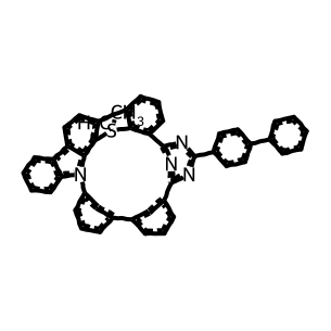 CS1(C)c2c3cccc2-c2ccc4c5ccccc5n(c4c21)-c1cccc(c1)-c1cccc(c1)-c1nc(-c2ccc(-c4ccccc4)cc2)nc-3n1